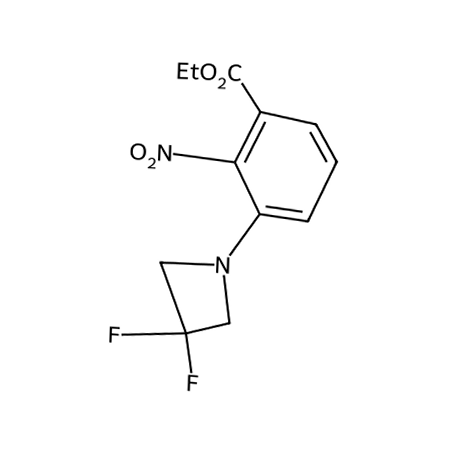 CCOC(=O)c1cccc(N2CC(F)(F)C2)c1[N+](=O)[O-]